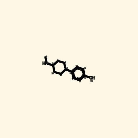 CNC1CCC(c2ccc(O)cc2)CC1